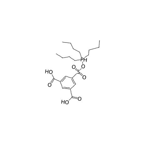 CCCC[PH](CCCC)(CCCC)OS(=O)(=O)c1cc(C(=O)O)cc(C(=O)O)c1